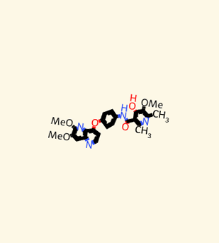 COc1cc2nccc(Oc3ccc(NC(=O)c4c(C)nc(C)c(OC)c4O)cc3)c2nc1OC